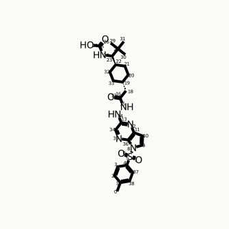 Cc1ccc(S(=O)(=O)n2ccc3nc(NNC(=O)C[C@H]4CC[C@H](C(NC(=O)O)C(C)(C)C)CC4)cnc32)cc1